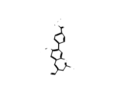 COc1cc2c(cc1-c1ccc(C(=O)S(=O)O)cc1)N=C(S)CC(C=O)=C2